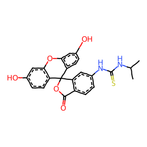 CC(C)NC(=S)Nc1ccc2c(c1)C1(OC2=O)c2ccc(O)cc2Oc2cc(O)ccc21